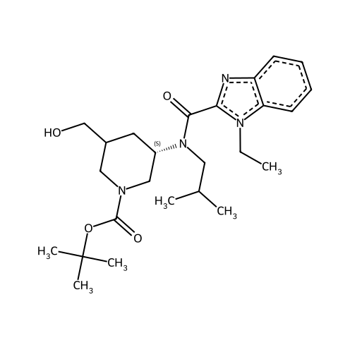 CCn1c(C(=O)N(CC(C)C)[C@H]2CC(CO)CN(C(=O)OC(C)(C)C)C2)nc2ccccc21